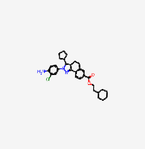 Nc1ccc(N2N=C3c4ccc(C(=O)OCCC5CCCCC5)cc4CCC3C2C2CCCC2)cc1Cl